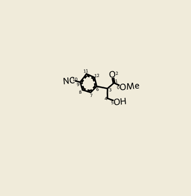 COC(=O)C(CO)c1ccc(C#N)cc1